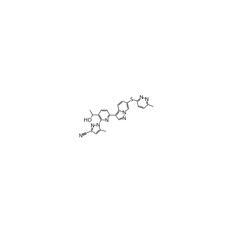 Cc1ccc(Sc2ccc3c(-c4ccc(C(C)O)c(-n5nc(C#N)cc5C)n4)cnn3c2)nn1